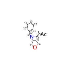 CC(=O)/C=C1\C2COCC2N1Cc1ccccc1